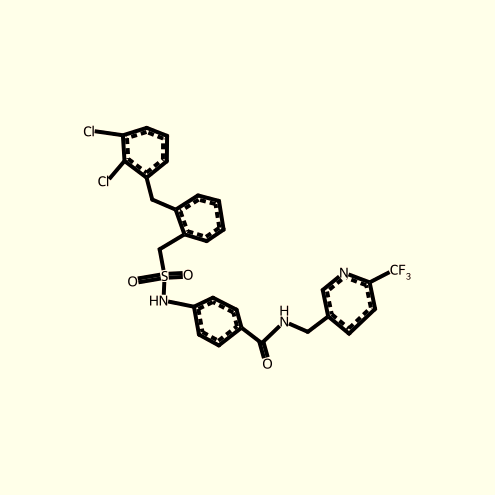 O=C(NCc1ccc(C(F)(F)F)nc1)c1ccc(NS(=O)(=O)Cc2ccccc2Cc2cccc(Cl)c2Cl)cc1